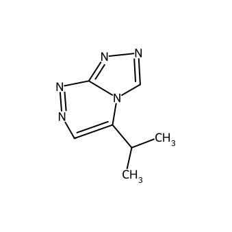 CC(C)c1cnnc2nncn12